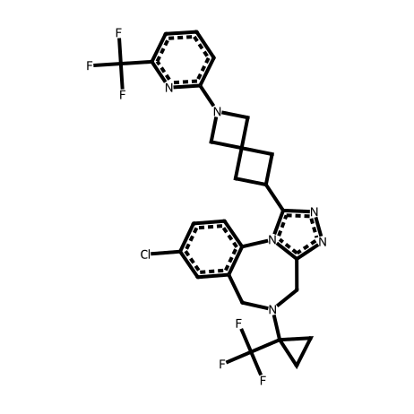 FC(F)(F)c1cccc(N2CC3(CC(c4nnc5n4-c4ccc(Cl)cc4CN(C4(C(F)(F)F)CC4)C5)C3)C2)n1